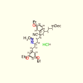 CCCCCCCCCCCCCCCC(C#N)(CCCC(CCc1cc(OCC)cc(OCC)c1)/N=N/C)c1cccc(OCC)c1.Cl